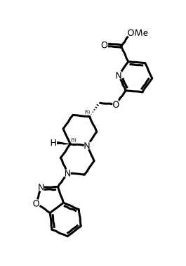 COC(=O)c1cccc(OC[C@H]2CC[C@H]3CN(c4noc5ccccc45)CCN3C2)n1